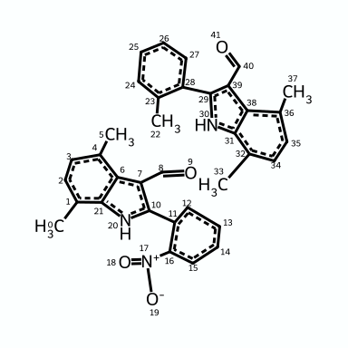 Cc1ccc(C)c2c(C=O)c(-c3ccccc3[N+](=O)[O-])[nH]c12.Cc1ccccc1-c1[nH]c2c(C)ccc(C)c2c1C=O